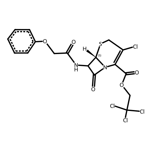 O=C(COc1ccccc1)NC1C(=O)N2C(C(=O)OCC(Cl)(Cl)Cl)=C(Cl)CS[C@@H]12